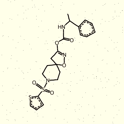 CC(NC(=O)OC1=NOC2(CCN(S(=O)(=O)c3cccs3)CC2)C1)c1ccccc1